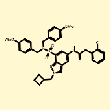 COc1ccc(CN(Cc2ccc(OC)cc2)S(=O)(=O)c2cc(NC(=O)Cc3ccccc3Cl)cc3cn(CC4CCC4)nc23)cc1